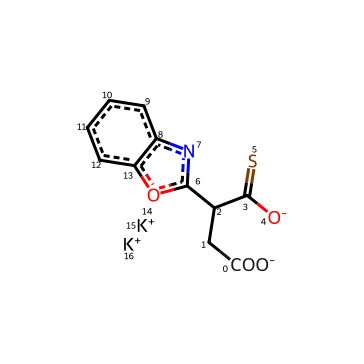 O=C([O-])CC(C([O-])=S)c1nc2ccccc2o1.[K+].[K+]